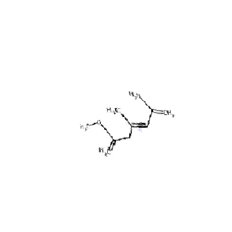 C=C(N)/C=C(\C)CC(=C)OC